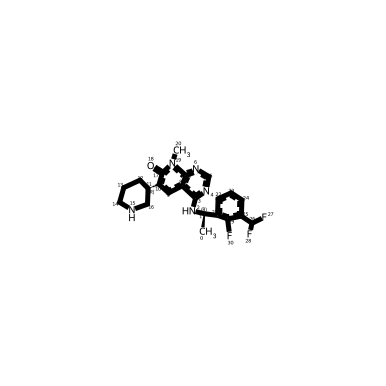 C[C@@H](Nc1ncnc2c1cc([C@H]1CCCNC1)c(=O)n2C)c1cccc(C(F)F)c1F